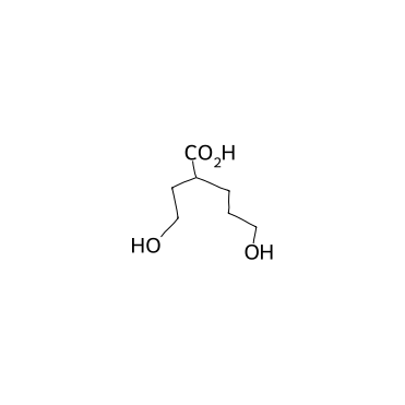 O=C(O)C(CCO)CCCO